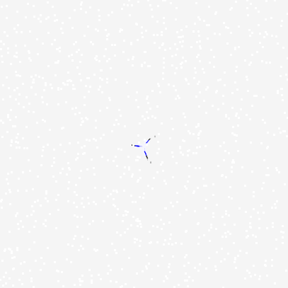 [CH2]CCN(CCC)CCC.[LiH]